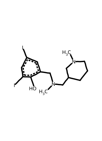 CN1CCCC(CN(C)Cc2cc(I)cc(I)c2O)C1